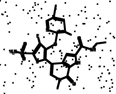 CCNC(=O)c1cc2c(-c3sc(S(N)(=O)=O)c(F)c3Oc3ncc(C)cc3C)cn(C)c(=O)c2[nH]1